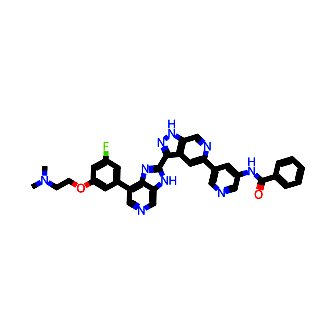 CN(C)CCOc1cc(F)cc(-c2cncc3[nH]c(-c4n[nH]c5cnc(-c6cncc(NC(=O)c7ccccc7)c6)cc45)nc23)c1